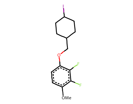 COc1ccc(OCC2CCC(I)CC2)c(F)c1F